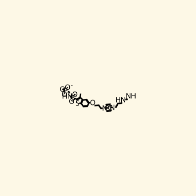 Cc1c(S(=O)(=O)NCP(=O)([O-])[O-])sc2ccc(OCCC[N+]34CC[N+](CCCNC=N)(CC3)CC4)cc12